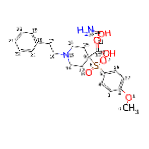 COc1ccc(S(=O)(=O)C2(C(=O)O)CCN(CCc3ccccc3)CC2)cc1.NO